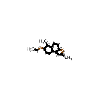 C=CSc1ccc2c(ccc3sc(C)cc32)c1C